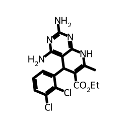 CCOC(=O)C1=C(C)Nc2nc(N)nc(N)c2C1c1cccc(Cl)c1Cl